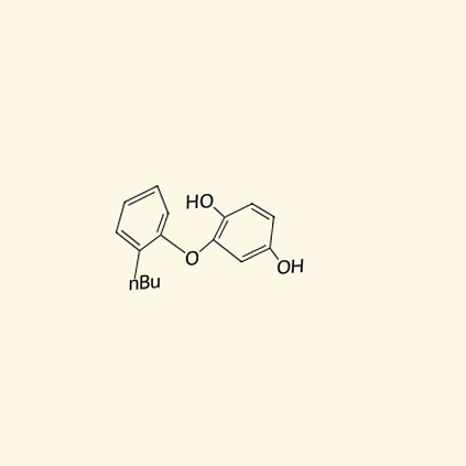 CCCCc1ccccc1Oc1cc(O)ccc1O